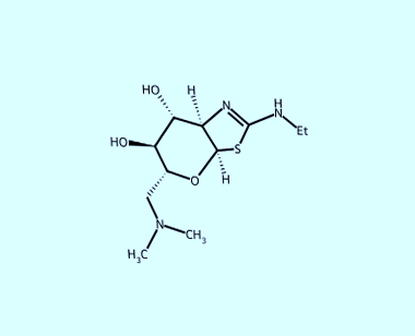 CCNC1=N[C@@H]2[C@@H](O)[C@H](O)[C@@H](CN(C)C)O[C@@H]2S1